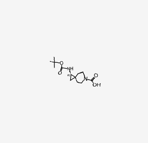 CC(C)(C)OC(=O)N[C@@H]1CC12CCN(C(=O)O)CC2